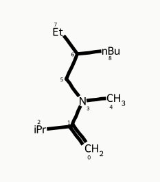 C=C(C(C)C)N(C)CC(CC)CCCC